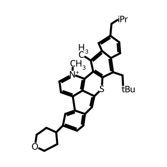 Cc1c2c(c(CC(C)(C)C)c3ccc(CC(C)C)cc13)Sc1cc3ccc(C4CCOCC4)cc3c3cc[n+](C)c-2c13